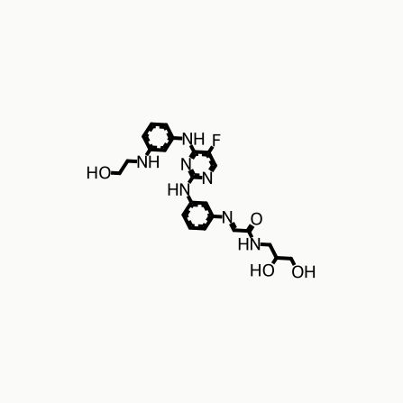 O=C(/C=N/c1cccc(Nc2ncc(F)c(Nc3cccc(NCCO)c3)n2)c1)NCC(O)CO